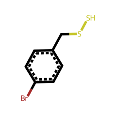 SSCc1ccc(Br)cc1